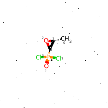 C[C@H]1O[C@H]1P(=O)(Cl)Cl